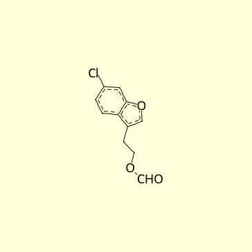 O=COCCc1coc2cc(Cl)ccc12